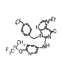 CCn1cnc2c1c(=O)nc(Nc1ccc(O[C@@H](C)C(F)(F)F)nc1)n2Cc1ccc(Cl)cc1